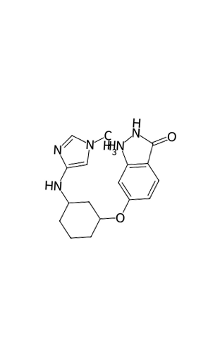 Cn1cnc(NC2CCCC(Oc3ccc4c(=O)[nH][nH]c4c3)C2)c1